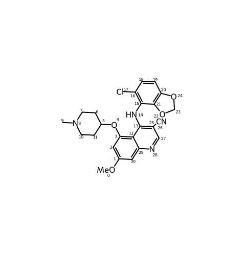 COc1cc(OC2CCN(C)CC2)c2c(Nc3c(Cl)ccc4c3OCO4)c(C#N)cnc2c1